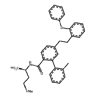 CSCC[C@H](NC(=O)c1ccc(CCc2ccccc2Oc2ccccc2)cc1-c1ccccc1C)C(=O)O